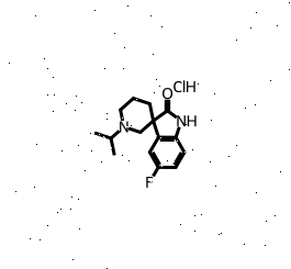 CC(C)N1CCCC2(C1)C(=O)Nc1ccc(F)cc12.Cl